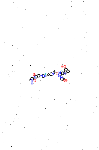 C=C1CC[C@H](N2Cc3cc(N4CCN(CC5(F)CC6(CCN(CC7(COc8nc(N9CCC[C@@](C)(O)C9)c9cnc(-c%10cc(O)cc%11cccc(CC)c%10%11)c(F)c9n8)CC7)CC6)C5)CC4)ccc3C2=O)C(=O)N1